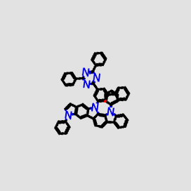 c1ccc(-c2cc(-c3nc(-c4ccccc4)nc(-c4ccccc4)n3)cc(-n3c4cc5ccn(-c6ccccc6)c5cc4c4ccc5c6ccccc6n(-c6ccccc6)c5c43)c2)cc1